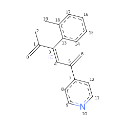 C=C(C)/C(=C/C(=C)c1ccncc1)c1ccccc1C